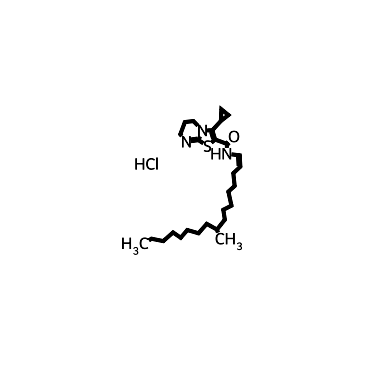 CCCCCCCCC(C)CCCCCC/C=C\NC(=O)C1=C(C2CC2)N2CCCN=C2S1.Cl